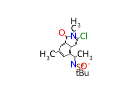 C/C(=N\[S@+]([O-])C(C)(C)C)c1cc(C)cc2c(=O)n(C)c(Cl)cc12